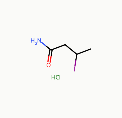 CC(I)CC(N)=O.Cl